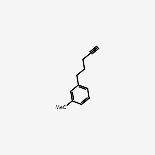 C#CCCCc1cccc(OC)c1